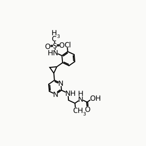 CC(CNc1nccc(C2CC2c2cccc(Cl)c2NS(C)(=O)=O)n1)NC(=O)O